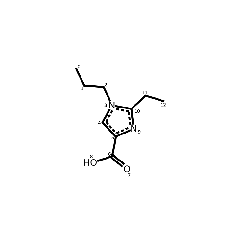 CCCn1cc(C(=O)O)nc1CC